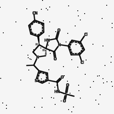 CC(c1cc(C(=O)NS(C)(=O)=O)cs1)N1C[C@@H](c2ccc(C#N)cc2)[C@@]2(C1)NC(=O)N(c1cc(Cl)cc(Cl)c1)C2=O